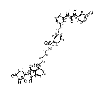 O=C1CCC(N2C(=O)c3cccc(NCCCCNC(=O)c4cccc(CCc5cc(NC(=O)Nc6ccnc(Cl)c6)ccn5)c4)c3C2=O)C(=O)N1